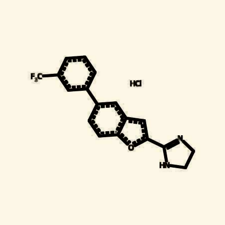 Cl.FC(F)(F)c1cccc(-c2ccc3oc(C4=NCCN4)cc3c2)c1